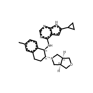 Cc1ccc2c(c1)CC[C@@H](N1C[C@H]3COC[C@H]3C1)[C@@H]2Nc1ncnc2[nH]c(C3CC3)cc12